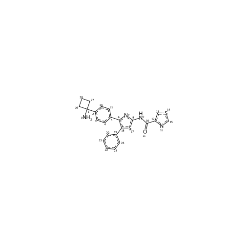 NC1(c2ccc(-c3nc(NC(=O)c4cscn4)sc3-c3ccccc3)cc2)CCC1